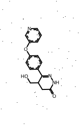 O=C1CC(CO)C(c2ccc(Oc3cccnc3)cc2)=NN1